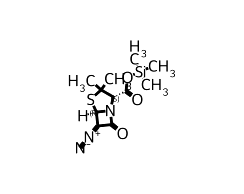 CC1(C)S[C@@H]2C(=[N+]=[N-])C(=O)N2[C@H]1C(=O)O[Si](C)(C)C